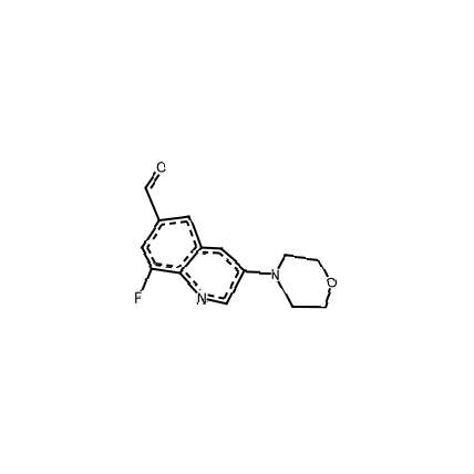 O=Cc1cc(F)c2ncc(N3CCOCC3)cc2c1